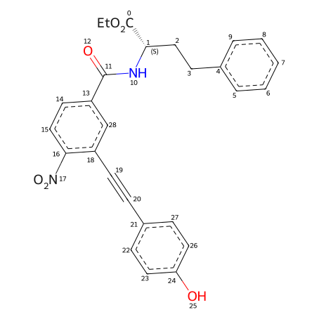 CCOC(=O)[C@H](CCc1ccccc1)NC(=O)c1ccc([N+](=O)[O-])c(C#Cc2ccc(O)cc2)c1